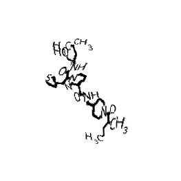 CCCC(C)C(=O)N1CCC(CNC(=O)c2cccn3c(C(=O)N[C@@H](CO)CC(C)C)c(-c4ccsc4)nc23)CC1